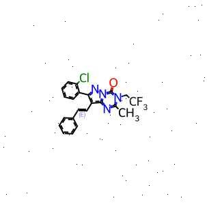 Cc1nc2c(/C=C/c3ccccc3)c(-c3ccccc3Cl)nn2c(=O)n1CC(F)(F)F